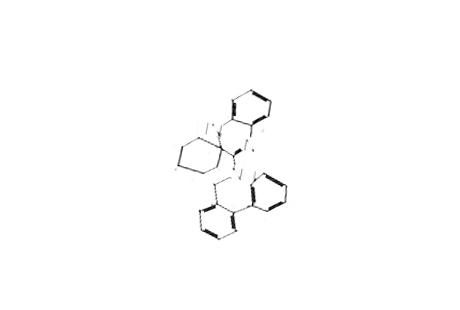 c1ccc(-c2ccccc2CNC2=Nc3ccccc3NC23CCCCC3)cc1